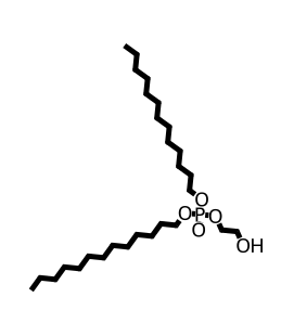 CCCCCCCCCCCCCOP(=O)(OCCO)OCCCCCCCCCCCCC